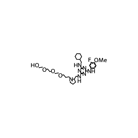 COc1ccc(Nc2nc(NCC3CCCCC3)nc(NCC3CCCN3CCCOCCOCCOCCO)n2)cc1F